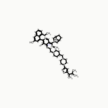 C=N/C(=C1/C=NC(c2cc(O)cc3cccc(CC)c23)=C(F)/C1=N/CCN1CCC(CN2CCN(c3cc(C(C)C(C)C)on3)CC2)CC1)N1CC2CCC(C1)N2